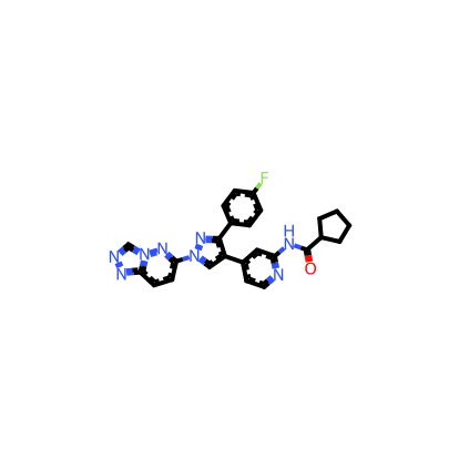 O=C(Nc1cc(-c2cn(-c3ccc4nncn4n3)nc2-c2ccc(F)cc2)ccn1)C1CCCC1